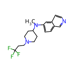 CN(c1ccc2cnccc2c1)C1CCN(CCC(F)(F)F)CC1